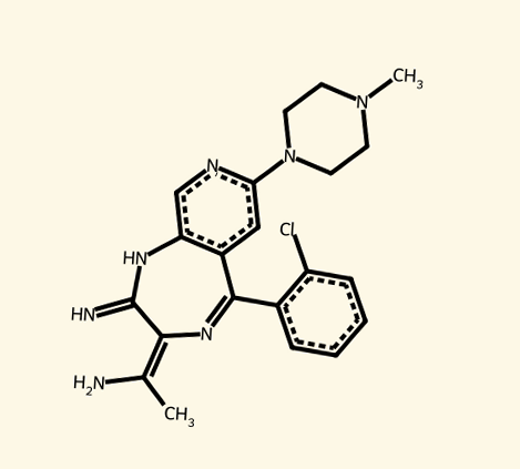 C/C(N)=C1\N=C(c2ccccc2Cl)c2cc(N3CCN(C)CC3)ncc2NC1=N